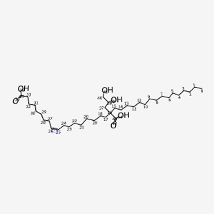 CCCCCCCCCCCCCCCCC(CCCCCCCC/C=C\CCCCCCCC(=O)O)(CC(O)CO)C(=O)O